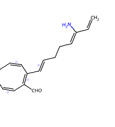 C=CC(N)=CCC/C=C/C1=C(C=O)/C=C\CC/C=C\1